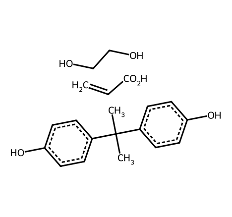 C=CC(=O)O.CC(C)(c1ccc(O)cc1)c1ccc(O)cc1.OCCO